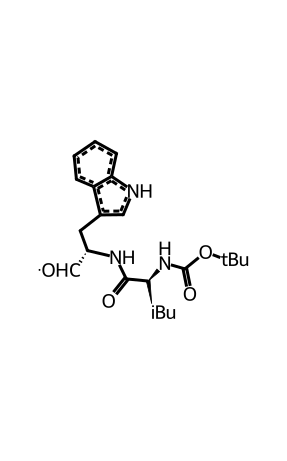 CC[C@H](C)[C@H](NC(=O)OC(C)(C)C)C(=O)N[C@H]([C]=O)Cc1c[nH]c2ccccc12